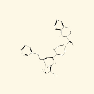 O=C(C1COc2ccccc2O1)N1CCC(c2cc(CCc3cccnc3)n3ncc(Br)c3n2)CC1